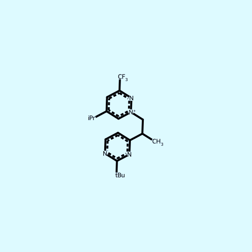 CC(C)c1cc(C(F)(F)F)n[n+](CC(C)c2ccnc(C(C)(C)C)n2)c1